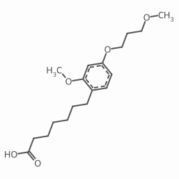 COCCCOc1ccc(CCCCCCC(=O)O)c(OC)c1